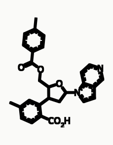 Cc1ccc(C(=O)OCC2OC(n3ccc4cnccc43)CC2c2cc(C)ccc2C(=O)O)cc1